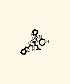 CC(C)CC(NC(=O)c1cc2ccccc2o1)C(=O)N([C@H]1CCCNCC1=O)S(=O)(=O)c1ccccn1